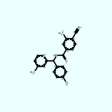 Cc1ccnc(C(NC(=O)c2ccc(C#N)c(C)c2)c2ccc(Cl)cc2)c1